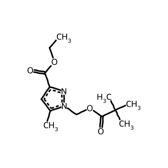 CCOC(=O)c1cc(C)n(COC(=O)C(C)(C)C)n1